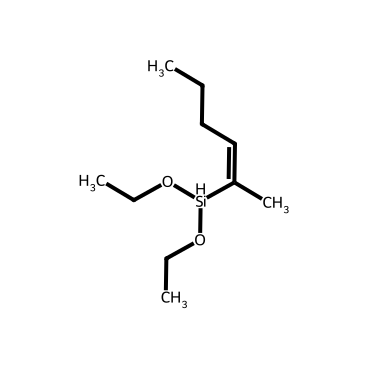 CCCC=C(C)[SiH](OCC)OCC